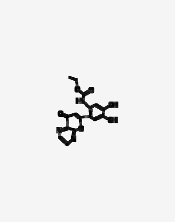 CCOC(=O)Nc1cc(O)c(O)cc1-c1cc(=O)c2nccnc2o1